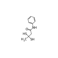 CC(S)(S)CC(=O)Nc1ccccc1